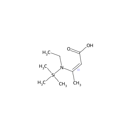 CCN(/C(C)=C\C(=O)O)[Si](C)(C)C